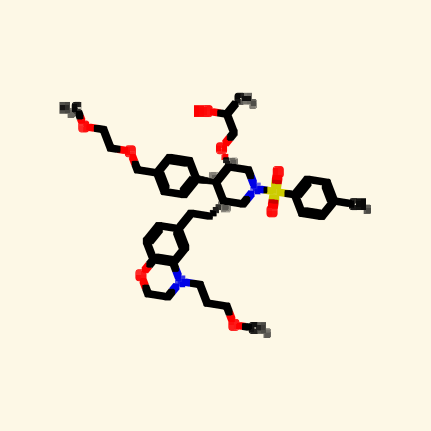 COCCCN1CCOc2ccc(CC[C@H]3CN(S(=O)(=O)c4ccc(C)cc4)C[C@@H](OCC(C)O)[C@@H]3c3ccc(COCCOC)cc3)cc21